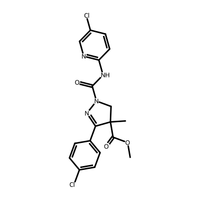 COC(=O)C1(C)CN(C(=O)Nc2ccc(Cl)cn2)N=C1c1ccc(Cl)cc1